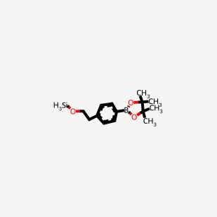 CC1(C)OB(c2ccc(CCO[SiH3])cc2)OC1(C)C